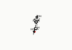 C[C@H]1C[C@@](O)(C23CC(F)(C2)C3)C[C@@H](COc2cc(C(F)(F)F)c3c(c2)ncn3C2CC(C)(O)C2)N1